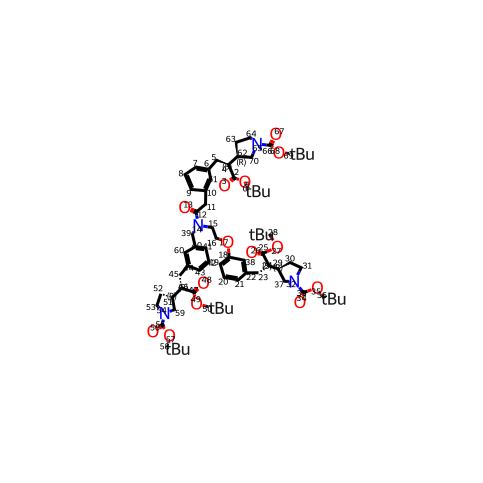 CC(C)(C)OC(=O)[C@@H](Cc1cccc(CC(=O)N(CCOc2cccc(C[C@H](C(=O)OC(C)(C)C)[C@H]3CCN(C(=O)OC(C)(C)C)C3)c2)Cc2cccc(C[C@H](C(=O)OC(C)(C)C)[C@H]3CCN(C(=O)OC(C)(C)C)C3)c2)c1)[C@H]1CCN(C(=O)OC(C)(C)C)C1